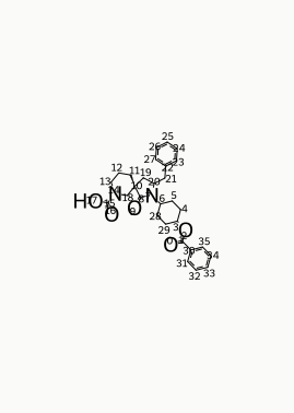 O=C(OC1CCC(N2C(=O)[C@@]3(CCCN(C(=O)O)C3)CC2Cc2ccccc2)CC1)c1ccccc1